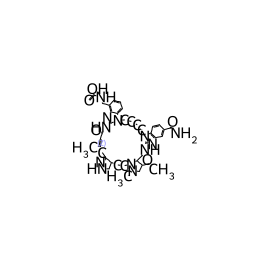 CCC1CN(C)N2CCC3CNN=C3C/C(C)=C\C(=O)Nc3nc4c(CNC(=O)O)cccc4n3CCCCn3c(nc4cc(C(N)=O)ccc43)NC(=O)C12